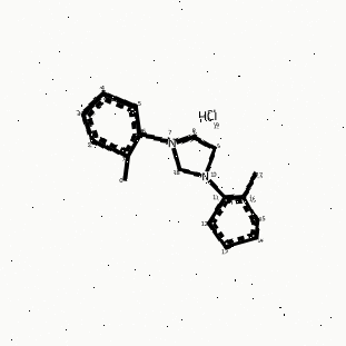 Cc1ccccc1N1CCN(c2ccccc2C)C1.Cl